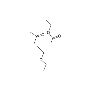 CC(C)=O.CCOC(C)=O.CCOCC